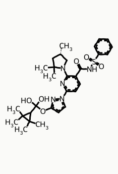 C[C@@H]1CN(c2nc(-n3ccc(OC(O)(O)C4C(C)(C)C4(C)C)n3)ccc2C(=O)NS(=O)(=O)c2ccccc2)C(C)(C)C1